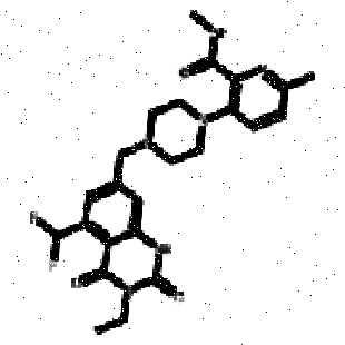 CCn1c(=O)[nH]c2cc(CN3CCN(c4ccc(C)nc4C(=O)NC)CC3)cc(C(F)F)c2c1=O